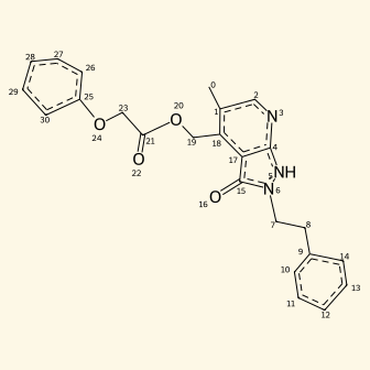 Cc1cnc2[nH]n(CCc3ccccc3)c(=O)c2c1COC(=O)COc1ccccc1